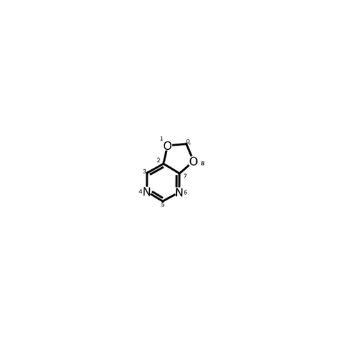 [CH]1Oc2cncnc2O1